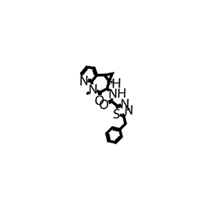 CN1C(=O)C(NC(=O)c2nnc(Cc3ccccc3)s2)[C@H]2CC2c2cccnc21